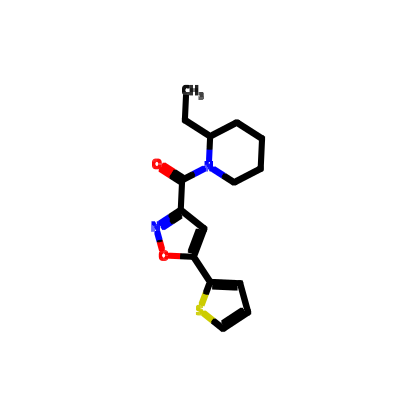 CCC1CCCCN1C(=O)c1cc(-c2cccs2)on1